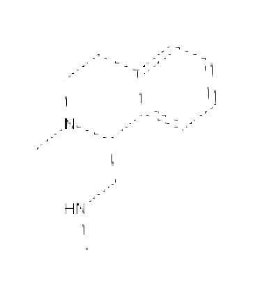 CNCC1c2ccccc2CCN1C